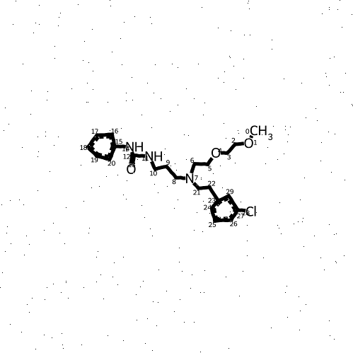 COCCOCCN(CCCNC(=O)Nc1ccccc1)CCc1cccc(Cl)c1